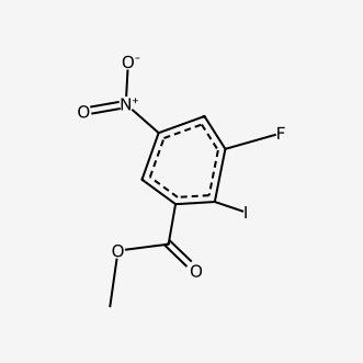 COC(=O)c1cc([N+](=O)[O-])cc(F)c1I